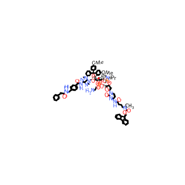 C#CCCOP(OC1CC(n2ccc(NC(=O)CCCN(C)C(=O)OCC3c4ccccc4-c4ccccc43)nc2=O)O[C@@H]1COP(=O)(OCCN)OC(C)[C@@H](COC(c1ccccc1)(c1ccc(OC)cc1)c1ccc(OC)cc1)OCn1cnc2c(NC(=O)c3ccc(CNC(=O)Cc4ccccc4)cc3)ncnc21)N(C(C)C)C(C)C